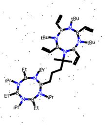 C=CB1N(C(C)(C)C)B(C=C)N(C(C)(C)C)B(C=C)N(C(C)(C)CCCB2N(C(C)C)B(CC)N(C(C)C)B(CC)N(C(C)C)B(CC)N2C(C)C)B(C=C)N1C(C)(C)C